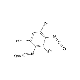 CCCc1cc(C(C)C)c(N=C=O)c(C(C)C)c1N=C=O